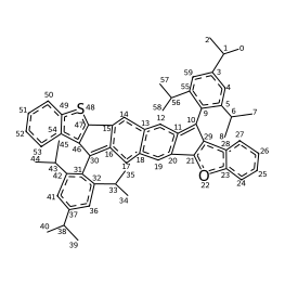 CC(C)c1cc(C(C)C)c(C2=c3cc4cc5c(cc4cc3-c3oc4ccccc4c32)=C(c2c(C(C)C)cc(C(C)C)cc2C(C)C)c2c-5sc3ccccc23)c(C(C)C)c1